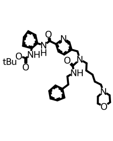 CC(C)(C)OC(=O)Nc1ccccc1NC(=O)c1ccc(CN(CCCCCN2CCOCC2)C(=O)NCCc2ccccc2)cn1